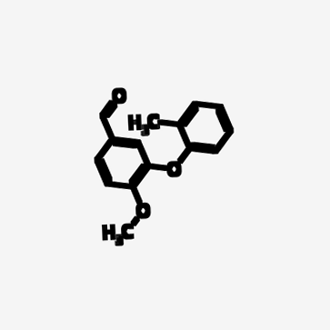 COc1ccc(C=O)cc1Oc1ccccc1C